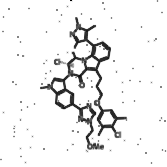 COCCn1cnc(-c2ccc3c(c2)c(N2C(=O)c4c(CCCOc5cc(C)c(Cl)c(C)c5)c5cccc(-c6c(C)nn(C)c6C)c5n4C(C)[C@H]2Cl)cn3C)n1